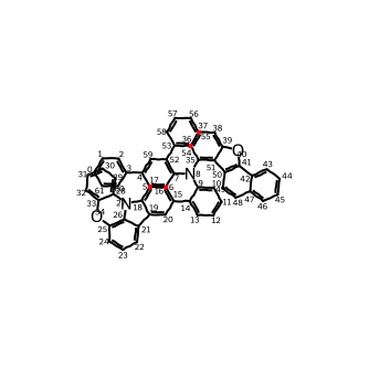 c1ccc(-c2ccc(N(c3ccccc3-c3ccc4c(c3)c3cccc5c3n4-c3ccccc3O5)c3cccc4oc5c6ccccc6ccc5c34)c(-c3ccccc3)c2)cc1